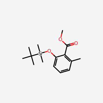 COC(=O)c1c(C)cccc1O[Si](C)(C)C(C)(C)C